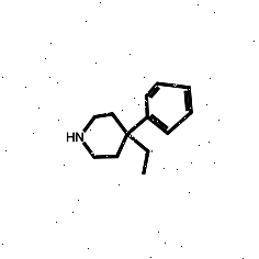 C[CH]C1(c2ccccc2)CCNCC1